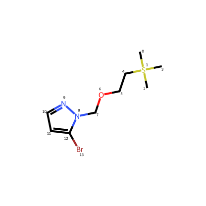 CS(C)(C)CCOCn1nccc1Br